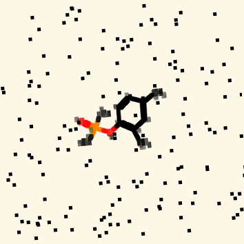 CCCCP(=O)(CCCC)Oc1ccc(C)cc1C